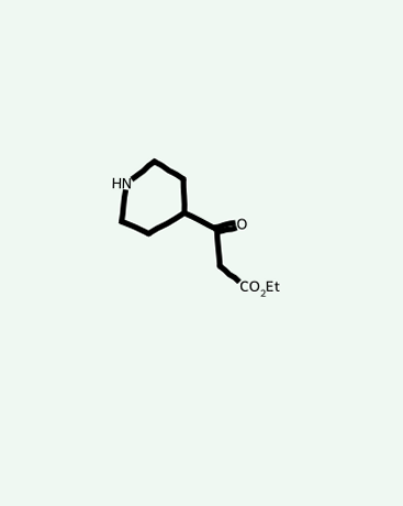 CCOC(=O)CC(=O)C1CCNCC1